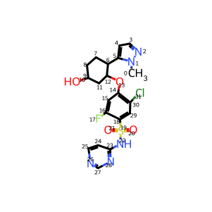 Cn1nccc1C1CCC(O)CC1Oc1cc(F)c(S(=O)(=O)Nc2ccncn2)cc1Cl